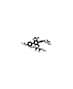 Cn1cnc2c(-c3ccc(OC(F)(F)F)cc3)cc(CN(C(=O)OC(C)(C)C)C(=O)OC(C)(C)C)c(C#CCO[Si](C)(C)C(C)(C)C)c21